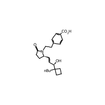 CCCCC1([C@H](O)C=C[C@H]2CCC(=O)N2CCc2ccc(C(=O)O)cc2)CCC1